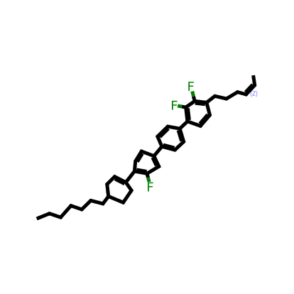 C/C=C\CCCc1ccc(-c2ccc(-c3ccc(C4=CCC(CCCCCCC)CC4)c(F)c3)cc2)c(F)c1F